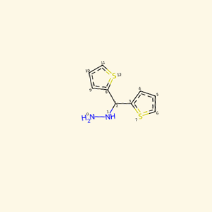 NN[C](c1cccs1)c1cccs1